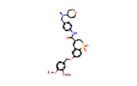 CCOc1ccc(COc2ccc3c(c2)C=C(C(=O)Nc2ccc(CN(C)C4CCOCC4)cc2)CCS3(=O)=O)cc1OCC